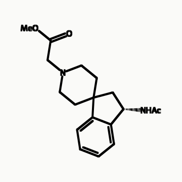 COC(=O)CN1CCC2(CC1)C[C@H](NC(C)=O)c1ccccc12